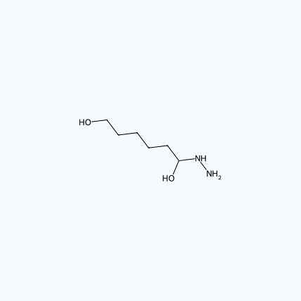 NNC(O)CCCCCO